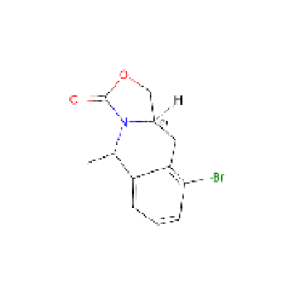 CC1c2cccc(Br)c2C[C@@H]2COC(=O)N12